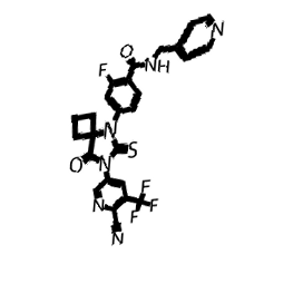 N#Cc1ncc(N2C(=O)C3(CCC3)N(c3ccc(C(=O)NCc4ccncc4)c(F)c3)C2=S)cc1C(F)(F)F